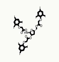 O=C(COc1c(I)cc(I)cc1I)OC[C@@H]1C[C@H](OC(=O)COc2c(I)cc(I)cc2I)[C@@H](NOC(=O)COc2c(I)cc(I)cc2I)O1